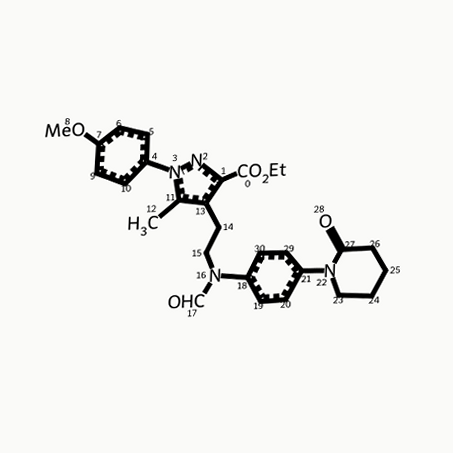 CCOC(=O)c1nn(-c2ccc(OC)cc2)c(C)c1CCN(C=O)c1ccc(N2CCCCC2=O)cc1